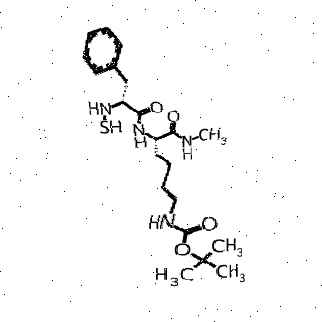 CNC(=O)[C@H](CCCCNC(=O)OC(C)(C)C)NC(=O)[C@@H](Cc1ccccc1)NS